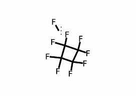 FC1(F)C(F)(F)C(F)(F)C1(F)F.[C]F